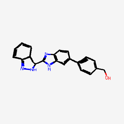 OCc1ccc(-c2ccc3nc(C4NN=C5C=CC=CC54)[nH]c3c2)cc1